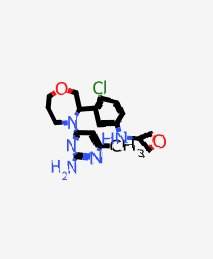 Cc1cc(N2CCCOCC2c2cc(NC3COC3)ccc2Cl)nc(N)n1